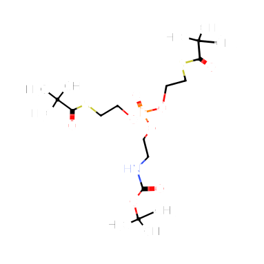 CC(C)(C)OC(=O)NCCOP(=O)(OCCSC(=O)C(C)(C)C)OCCSC(=O)C(C)(C)C